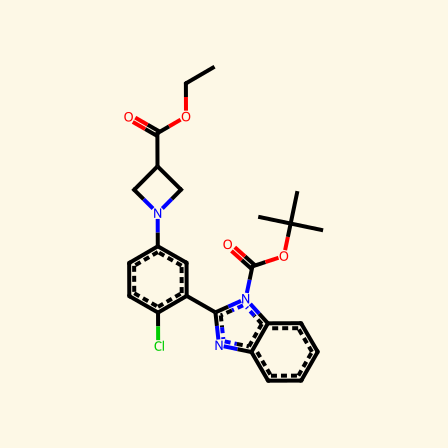 CCOC(=O)C1CN(c2ccc(Cl)c(-c3nc4ccccc4n3C(=O)OC(C)(C)C)c2)C1